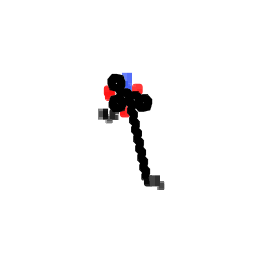 CCCCCCCCCCCCCCCCc1c2ccccc2c(=O)c2c3[nH]c4cccc(=O)c4c3c3c(=O)cc(C)c(=O)c3c12